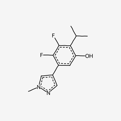 CC(C)c1c(O)cc(-c2cnn(C)c2)c(F)c1F